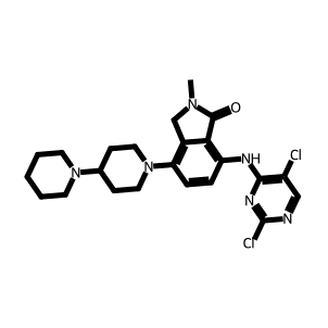 CN1Cc2c(N3CCC(N4CCCCC4)CC3)ccc(Nc3nc(Cl)ncc3Cl)c2C1=O